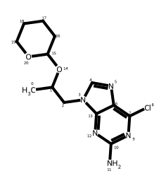 CC(Cn1cnc2c(Cl)nc(N)nc21)OC1CCCCO1